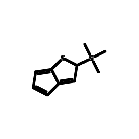 C[Si](C)(C)C1C=C2C=CC=C2S1